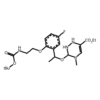 CCOC(=O)C1=CN(C)C(OC(C)c2cc(F)ccc2OCCNC(=O)OC(C)(C)C)NN1